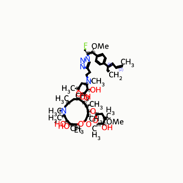 C=C/C(=C\C=C/C)c1ccc([C@@H](OC)[C@@H](CF)n2cc(CCN(C)[C@H]3C[C@@H](C)O[C@@H](O[C@@H]4[C@@H](C)[C@H](O[C@H]5C[C@@](C)(OC)[C@@H](O)[C@H](C)O5)[C@@H](C)C(=O)O[C@H](CC)[C@@](C)(O)[C@H](O)[C@@H](C)N(C)C[C@H](C)C[C@@]4(C)O)[C@@H]3O)nn2)cc1